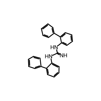 N=C(Nc1ccccc1-c1ccccc1)Nc1ccccc1-c1ccccc1